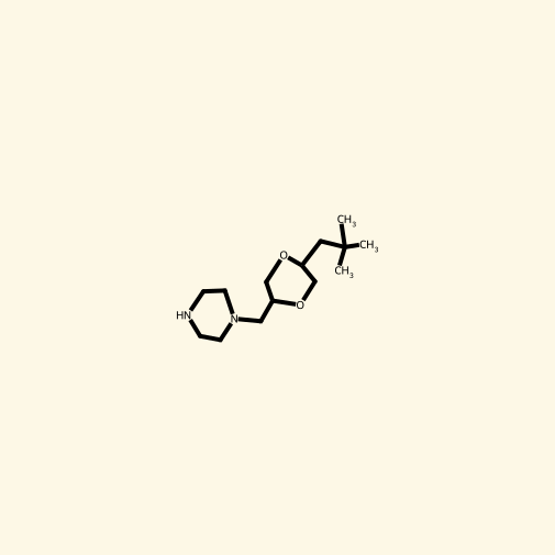 CC(C)(C)CC1COC(CN2CCNCC2)CO1